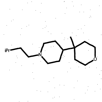 CC(C)CCN1CCC(C2(C)CCOCC2)CC1